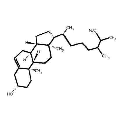 CC(C)C(C)CCC[C@@H](C)[C@H]1CC[C@H]2[C@@H]3CC=C4C[C@@H](O)CC[C@]4(C)[C@H]3CC[C@]12C